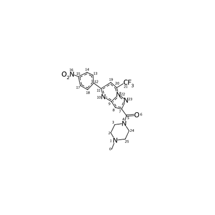 CN1CCN(C(=O)c2cc3nc(-c4ccc([N+](=O)[O-])cc4)cc(C(F)(F)F)n3n2)CC1